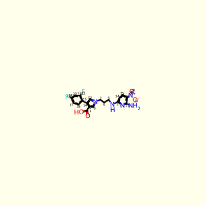 Nc1nc(NCCCn2cc(C(=O)O)c(-c3ccc(F)cc3F)c2)ccc1[N+](=O)[O-]